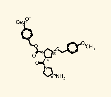 COc1ccc(CS[C@H]2C[C@@H](C(=O)N3CC[C@H](N)C3)N(C(=O)OCc3ccc([N+](=O)[O-])cc3)C2)cc1